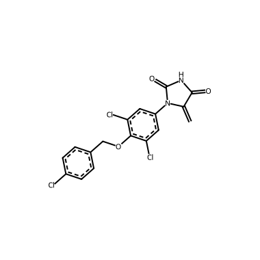 C=C1C(=O)NC(=O)N1c1cc(Cl)c(OCc2ccc(Cl)cc2)c(Cl)c1